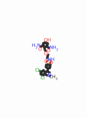 CN1Cc2c(Cl)cc(Cl)cc2C(c2ccc(S(=O)(=O)NCCOCCc3c(C(N)=O)cc(O)cc3C(N)=O)cc2)C1